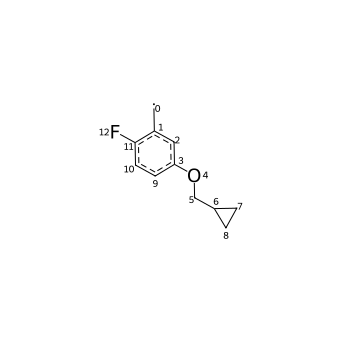 [CH2]c1cc(OCC2CC2)ccc1F